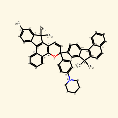 CC1(C)c2cc(C3(c4ccc(N5CCCCC5)cc4)C=Cc4c5c(c6ccccc6c4O3)-c3ccc(C#N)cc3C5(C)C)ccc2-c2c1ccc1ccccc21